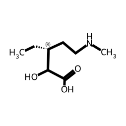 CC[C@H](CCNC)C(O)C(=O)O